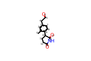 Cc1cc(CC=O)ccc1C1CCC(=O)NC1=O